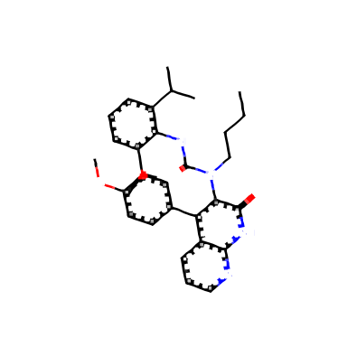 CCCCN(C(=O)Nc1c(C(C)C)cccc1C(C)C)c1c(-c2ccc(OC)cc2)c2cccnc2[nH]c1=O